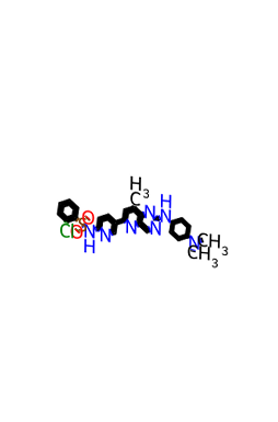 Cc1cc(-c2ccc(NS(=O)(=O)c3ccccc3Cl)nc2)nc2cnc(N[C@H]3CC[C@H](N(C)C)CC3)nc12